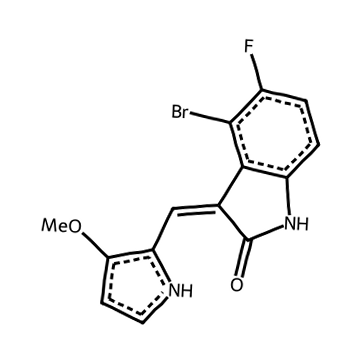 COc1cc[nH]c1C=C1C(=O)Nc2ccc(F)c(Br)c21